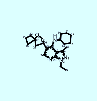 CCn1nc(C)c2c(NC3CCCCC3)c(C3=NOC4(CCC4)C3)cnc21